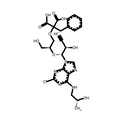 C#C[C@@H](O)[C@@H](O[C@@H](CO)COC(Cc1ccccc1)(C(=O)O)C(=O)O)n1cnc2c(NC[C@@H](C)O)nc(Cl)nc21